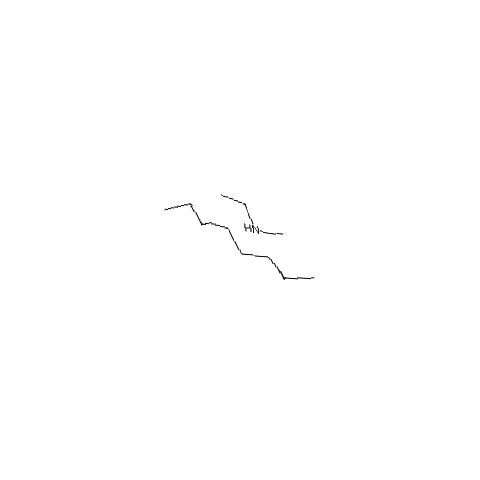 CCCCCCCC.CCNC